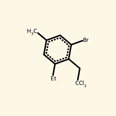 CCc1cc(C)cc(Br)c1CC(Cl)(Cl)Cl